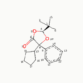 CC(C)(C)[C@@H]1OC(=O)C(c2ccccc2)(C2CCCC2)O1